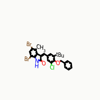 Cc1c(Br)cc(Br)c2c1C(=Cc1cc(Cl)c(OCc3ccccc3)c(C(C)(C)C)c1)C(=O)N2